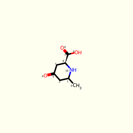 CC1CC(=O)C[C@@H](C(=O)O)N1